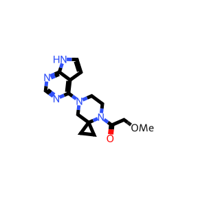 COCC(=O)N1CCN(c2ncnc3[nH]ccc23)CC12CC2